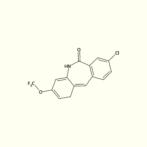 O=C1NC2=CC(OC(F)(F)F)=CCC2=Cc2ccc(Cl)cc21